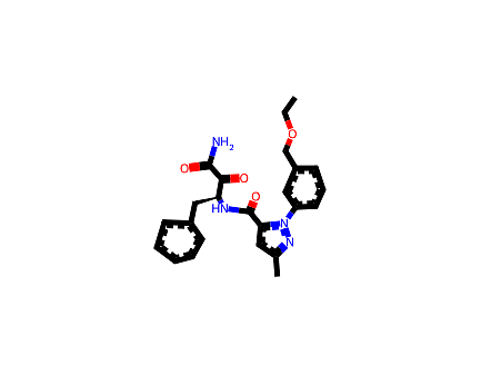 CCOCc1cccc(-n2nc(C)cc2C(=O)N[C@@H](Cc2ccccc2)C(=O)C(N)=O)c1